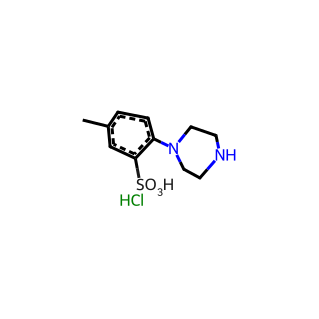 Cc1ccc(N2CCNCC2)c(S(=O)(=O)O)c1.Cl